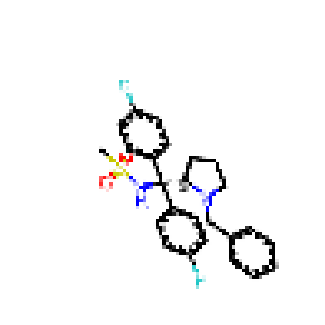 CS(=O)(=O)NC(c1ccc(F)cc1)(c1ccc(F)cc1)[C@@H]1CCCN1Cc1ccccc1